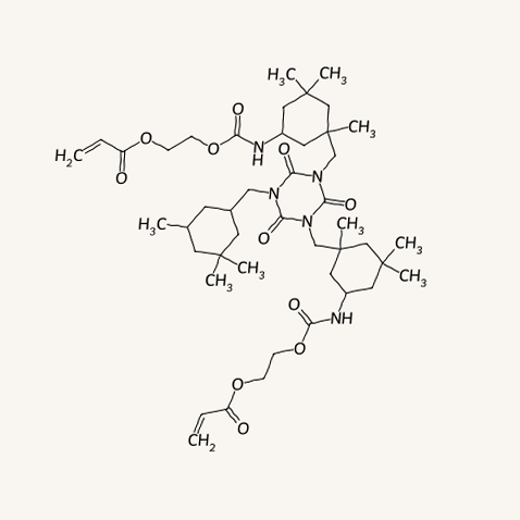 C=CC(=O)OCCOC(=O)NC1CC(C)(C)CC(C)(Cn2c(=O)n(CC3CC(C)CC(C)(C)C3)c(=O)n(CC3(C)CC(NC(=O)OCCOC(=O)C=C)CC(C)(C)C3)c2=O)C1